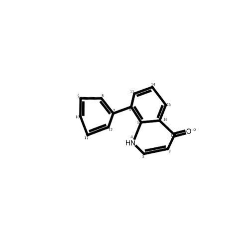 O=c1cc[nH]c2c(-c3ccccc3)cccc12